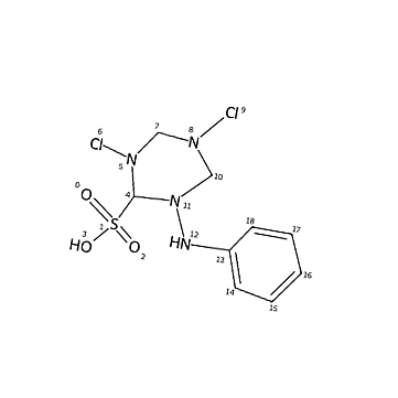 O=S(=O)(O)C1N(Cl)CN(Cl)CN1Nc1ccccc1